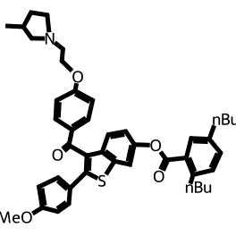 CCCCc1ccc(CCCC)c(C(=O)Oc2ccc3c(C(=O)c4ccc(OCCN5CCC(C)C5)cc4)c(-c4ccc(OC)cc4)sc3c2)c1